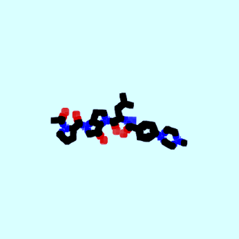 CC(=O)N1CCCC1C(=O)N1CC(=O)C2C1CCN2C(=O)C(CC(C)C)NC(=O)c1ccc(N2CCN(C)CC2)cc1